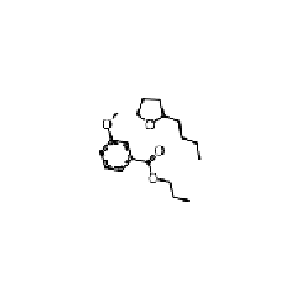 CCCCC1CCCO1.CCCOC(=O)c1cccc(OC)c1